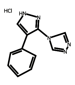 Cl.c1ccc(-c2c[nH]nc2-n2cnnc2)cc1